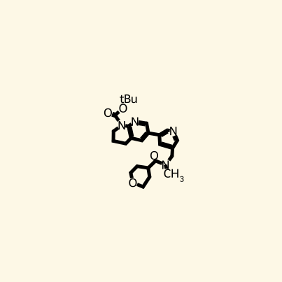 CN(Cc1cncc(-c2cnc3c(c2)CCCN3C(=O)OC(C)(C)C)c1)C(=O)C1CCOCC1